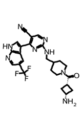 N#Cc1cnc(NCC2CCN(C(=O)[C@H]3C[C@@H](N)C3)CC2)nc1-c1c[nH]c2ncc(C(F)(F)F)cc12